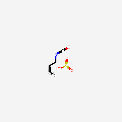 C=CCN=C=O.O=[SH](=O)O